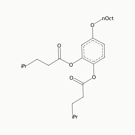 CCCCCCCCOc1ccc(OC(=O)CCC(C)C)c(OC(=O)CCC(C)C)c1